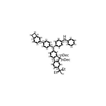 CCCCCCCCCCC1(CCCCCCCCCC)c2cc(N(c3ccc(Nc4ccccc4)cc3)c3ccc(-c4ccc5c(c4)CC5)cc3)ccc2-c2ccc(C(C)(CC)CC)cc21